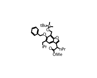 CCCC(C(=O)OC)c1coc2c(CO[Si](C)(C)C(C)(C)C)c(OCc3ccccc3)c(CC(C)C)cc12